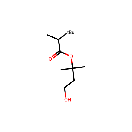 CC(C(=O)OC(C)(C)CCO)C(C)(C)C